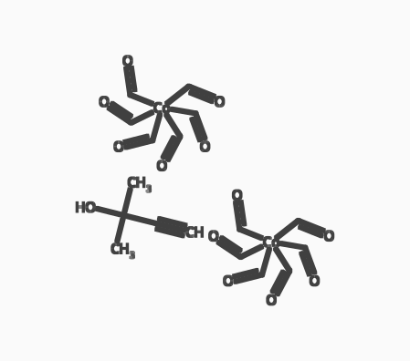 C#CC(C)(C)O.O=[CH][Co]([CH]=O)([CH]=O)([CH]=O)([CH]=O)[CH]=O.O=[CH][Co]([CH]=O)([CH]=O)([CH]=O)([CH]=O)[CH]=O